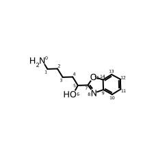 NCCCCC(O)c1nc2ccccc2o1